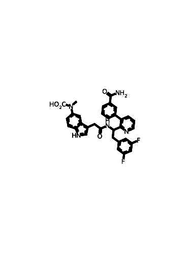 CN(C(=O)O)c1ccc2[nH]cc(CC(=O)NC(Cc3cc(F)cc(F)c3)c3ncccc3-c3cccc(C(N)=O)c3)c2c1